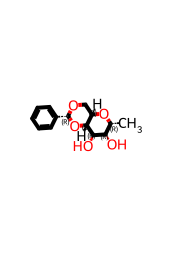 C[C@H]1O[C@@H]2CO[C@@H](c3ccccc3)O[C@H]2[C@H](O)[C@H]1O